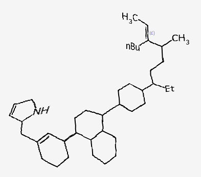 C/C=C(\CCCC)C(C)CCC(CC)C1CCC(C2CCC(C3C=C(CC4C=CCN4)CCC3)C3CCCCC23)CC1